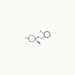 C#CC1(OCc2ccccc2F)CCN(C)CC1